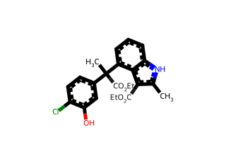 CCOC(=O)c1c(C)[nH]c2cccc(C(C)(C(=O)OCC)c3ccc(Cl)c(O)c3)c12